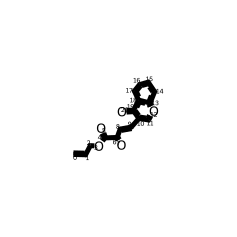 C=CCOC(=O)C(=O)C=Cc1coc2ccccc2c1=O